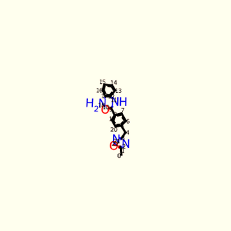 Cc1nc(Cc2ccc(C(=O)Nc3ccccc3N)cc2)no1